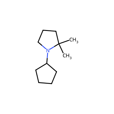 CC1(C)CCCN1C1CCCC1